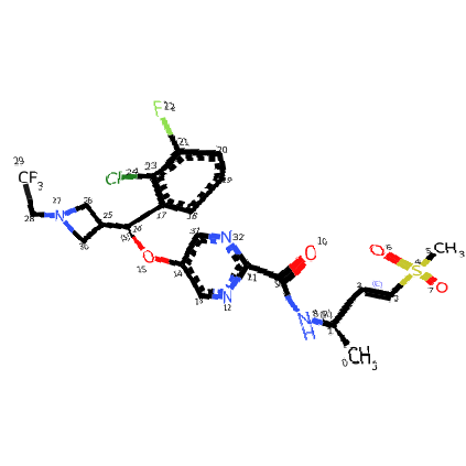 C[C@H](/C=C/S(C)(=O)=O)NC(=O)c1ncc(O[C@H](c2cccc(F)c2Cl)C2CN(CC(F)(F)F)C2)cn1